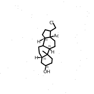 CC(=O)C12CC[C@H]3C(CC[C@H]4C[C@H](O)CCC43C)[C@@H]1CCC2CCl